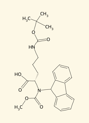 COC(=O)N(C1c2ccccc2-c2ccccc21)[C@@H](CCCNC(=O)OC(C)(C)C)C(=O)O